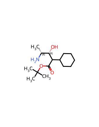 C[C@@H](N)[C@H](O)C(C(=O)OC(C)(C)C)C1CCCCC1